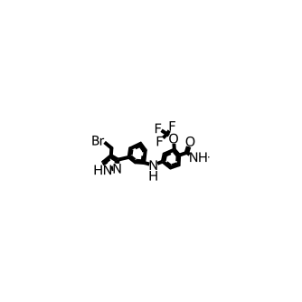 [NH]C(=O)c1ccc(Nc2cccc(-c3n[nH]cc3CBr)c2)cc1OC(F)(F)F